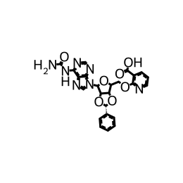 NC(=O)Nc1ncnc2c1ncn2C1OC(COc2ncccc2C(=O)O)C2O[C@H](c3ccccc3)OC21